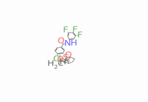 C=C1CC2CCC1[C@@H]2S(=O)(=O)c1cc(C(=O)Nc2cc(F)c(F)c(F)c2)ccc1Cl